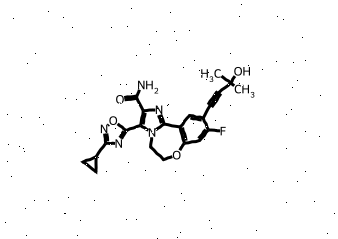 CC(C)(O)C#Cc1cc2c(cc1F)OCCn1c-2nc(C(N)=O)c1-c1nc(C2CC2)no1